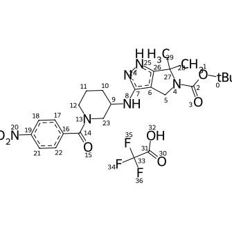 CC(C)(C)OC(=O)N1Cc2c(NC3CCCN(C(=O)c4ccc([N+](=O)[O-])cc4)C3)n[nH]c2C1(C)C.O=C(O)C(F)(F)F